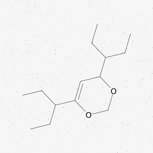 CCC(CC)C1=CC(C(CC)CC)OCO1